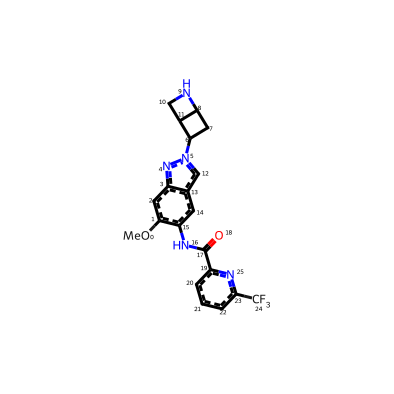 COc1cc2nn(C3CC4NCC43)cc2cc1NC(=O)c1cccc(C(F)(F)F)n1